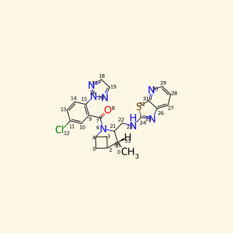 C[C@@H]1C2CC(C2)N(C(=O)c2cc(Cl)ccc2-n2nccn2)C1CNc1nc2cccnc2s1